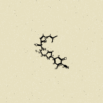 CC(C)=Cn1ccc(C(=O)N[C@@H](C)Cn2ccc(-c3cc(F)c(C#N)c(Cl)c3)n2)n1